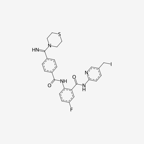 N=C(c1ccc(C(=O)Nc2ccc(F)cc2C(=O)Nc2ccc(CI)cn2)cc1)N1CCSCC1